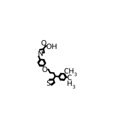 Cc1ccc(C(CCCOc2ccc(CN3CC(C(=O)O)C3)cc2)c2ccsc2)cc1C